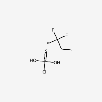 CCC(F)(F)F.OP(O)(=S)Cl